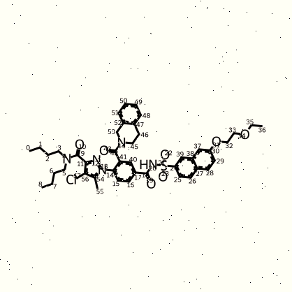 CCCCN(CCCC)C(=O)c1nn(-c2ccc(C(=O)NS(=O)(=O)c3ccc4ccc(OCCOCC)cc4c3)cc2C(=O)N2CCc3ccccc3C2)c(C)c1Cl